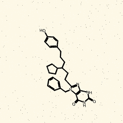 O=c1[nH]c(=O)c2c(nc(CCC(CCCc3ccc(O)cc3)C3CCCC3)n2Cc2ccccc2)[nH]1